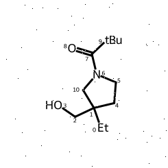 CCC1(CO)CCN(C(=O)C(C)(C)C)C1